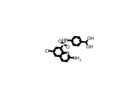 Nc1ccc2cc(Cl)cc(S(=O)(=O)Nc3ccc(C(O)O)cc3)c2n1